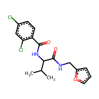 CC(C)C(NC(=O)c1ccc(Cl)cc1Cl)C(=O)NCc1ccco1